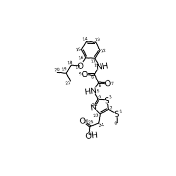 CSc1sc(NC(=O)C(=O)Nc2ccccc2OCC(C)C)nc1CC(=O)O